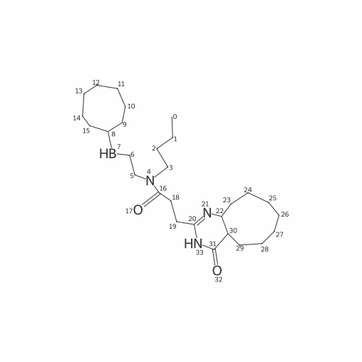 CCCCN(CCBC1CCCCCCC1)C(=O)CCC1=NC2CCCCCCCC2C(=O)N1